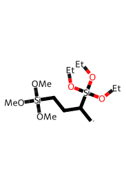 [CH2]C(CC[Si](OC)(OC)OC)[Si](OCC)(OCC)OCC